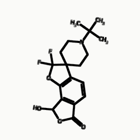 CC(C)(C)N1CCC2(CC1)c1ccc3c(c1OC2(F)F)C(O)OC3=O